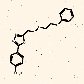 O=C(O)c1ccc(-c2nnc(CSOCCOc3ccccc3)o2)cc1